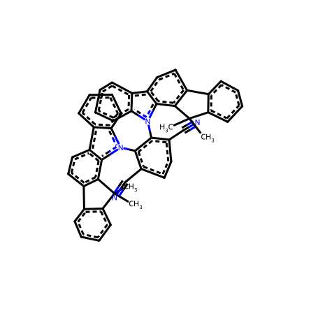 CC1(C)c2ccccc2-c2ccc3c4ccccc4n(-c4c(C#N)ccc(C#N)c4-n4c5ccccc5c5ccc6c(c54)C(C)(C)c4ccccc4-6)c3c21